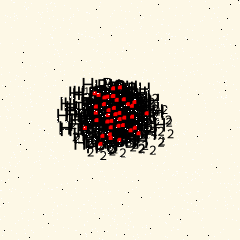 BBB(B)B(B(B)B)B(B(B(B)B)B(B)B)B(B(B(B(B)B)B(B)B)B(B(B)B)B(B)B)[Si](CN)(O[Si](CN)(B(B(B(B(B)B)B(B)B)B(B(B)B)B(B)B)B(B(B(B)B)B(B)B)B(B(B)B)B(BB)B(B)B)B(B(B(B(B)B)B(B)B)B(B(B)B)B(B)B)B(B(B(B)B)B(B)B)B(B(B)B)B(B(B)B)B(B)B)B(B(B(B(B)B)B(B)B)B(B(B)B)B(B)B)B(B(B(B)B)B(B)B)B(B(B)B)B(B)B(B)B